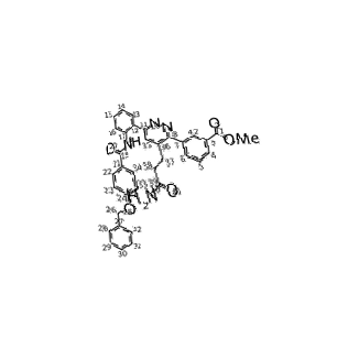 COC(=O)c1cccc(-c2nnc(-c3ccccc3NC(=O)c3ccc(OCc4ccccc4)cc3)cc2CCC(N)=O)c1